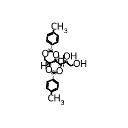 Cc1ccc([C@H]2OC[C@H]3O[C@@H](c4ccc(C)cc4)O[C@@H]([C@H](O)CO)[C@@H]3O2)cc1